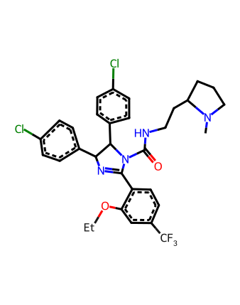 CCOc1cc(C(F)(F)F)ccc1C1=NC(c2ccc(Cl)cc2)C(c2ccc(Cl)cc2)N1C(=O)NCCC1CCCN1C